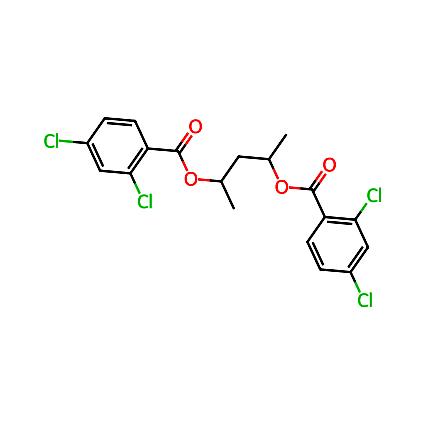 CC(CC(C)OC(=O)c1ccc(Cl)cc1Cl)OC(=O)c1ccc(Cl)cc1Cl